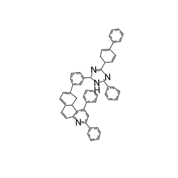 C1=CC(C2=NC(c3cccc(C4=CC=C5C=Cc6nc(-c7ccccc7)cc(-c7ccccc7)c6C5C4)c3)NC(c3ccccc3)=N2)CC=C1c1ccccc1